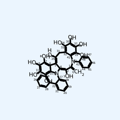 C=C1/C(O)=c2\c(c3c(O)c(O)c(O)c(O)c3n2-c2ccccc2-c2ccccc2)=C(\O)Cc2c(O)c(O)c(O)c(O)c2N1c1ccccc1